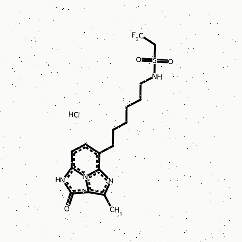 Cc1nc2c(CCCCCCNS(=O)(=O)CC(F)(F)F)ccc3[nH]c(=O)c1n32.Cl